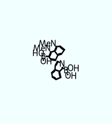 CNc1cccc2ccc(B(O)O)c(NC)c12.OB(O)c1nccc2ccccc12